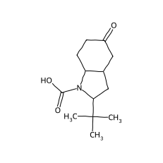 CC(C)(C)C1CC2CC(=O)CCC2N1C(=O)O